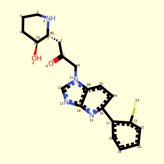 O=C(C[C@H]1NCCC[C@@H]1O)Cn1cnc2nc(-c3ccccc3F)ccc21